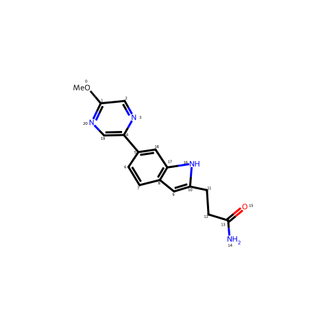 COc1cnc(-c2ccc3cc(CCC(N)=O)[nH]c3c2)cn1